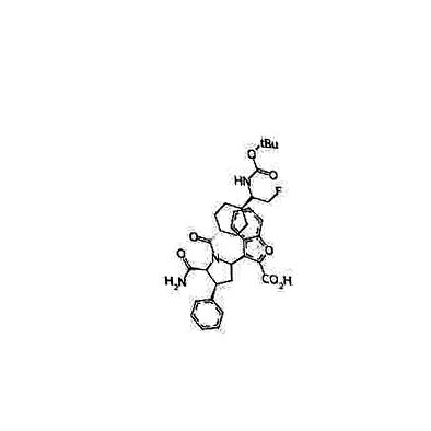 CC(C)(C)OC(=O)NC(CF)[C@H]1CC[C@H](C(=O)N2C(c3c(C(=O)O)oc4ccccc34)C[C@@H](c3ccccc3)[C@H]2C(N)=O)CC1